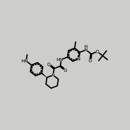 CNc1ccc([C@@H]2CCCCN2C(=O)C(=O)Nc2cnc(NC(=O)OC(C)(C)C)c(C)c2)cc1